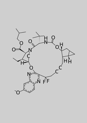 CC[C@@H]1[C@@H]2CN(C(=O)[C@H](C(C)(C)C)NC(=O)O[C@@H]3CC4C[C@@H]4[C@H]3CCCCC(F)(F)c3nc4ccc(OC)cc4nc3O2)[C@@H]1C(=O)OCC(C)C